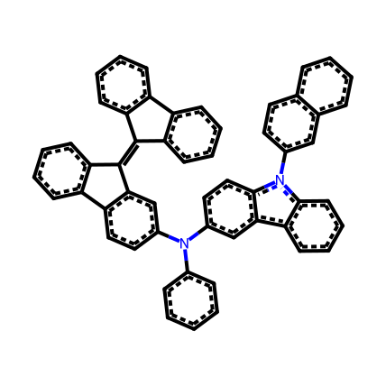 c1ccc(N(c2ccc3c(c2)C(=C2c4ccccc4-c4ccccc42)c2ccccc2-3)c2ccc3c(c2)c2ccccc2n3-c2ccc3ccccc3c2)cc1